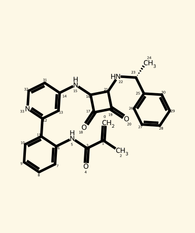 C=C(C)C(=O)Nc1ccccc1-c1cc(NC2C(=O)C(=O)C2N[C@H](C)c2ccccc2)ccn1